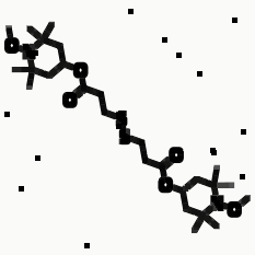 CON1C(C)(C)CC(OC(=O)CCSSCCC(=O)OC2CC(C)(C)N(OC)C(C)(C)C2)CC1(C)C